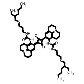 CCCCC(CC)CSCCCNC(=O)Nc1c(C2=C([O-])/C(=c3/cc4c5c(c3NC(=O)NCCCSCC(CC)CCCC)CCC[N+]=5CCC4)C2=O)cc2c3c1CCCN3CCC2